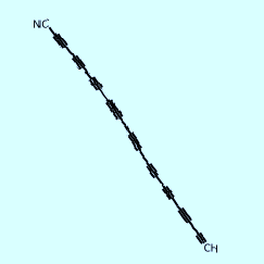 C#CC#CC#CC#CC#CC#CC#CC#CC#CC#N